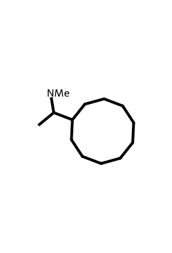 CNC(C)C1CCCCCCCCC1